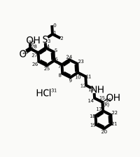 CC(C)Sc1cc(-c2ccc(CCNC[C@H](O)c3ccccc3)cc2)ccc1C(=O)O.Cl